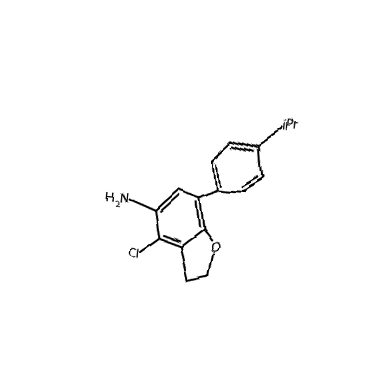 CC(C)c1ccc(-c2cc(N)c(Cl)c3c2OCC3)cc1